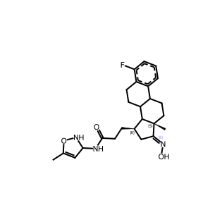 CC1=CC(NC(=O)CC[C@@H]2C/C(=N\O)[C@@]3(C)CCC4c5cccc(F)c5CCC4C23)NO1